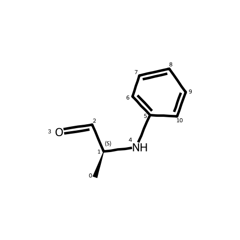 C[C@@H](C=O)Nc1ccccc1